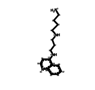 NCCCCNCCCNc1ccnc2ccccc12